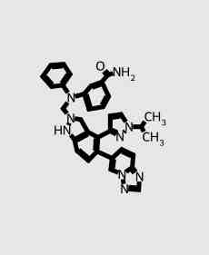 CC(C)n1ccc(-c2c(-c3ccc4ncnn4c3)ccc3c2CN(CN(c2ccccc2)c2cccc(C(N)=O)c2)N3)n1